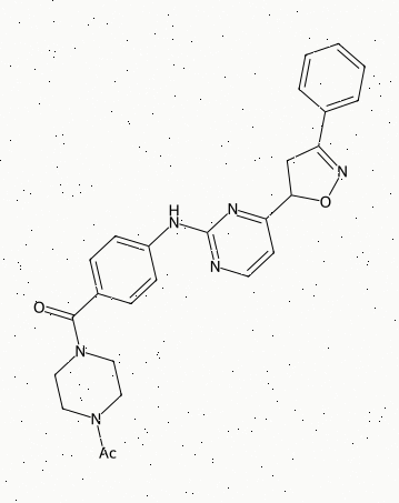 CC(=O)N1CCN(C(=O)c2ccc(Nc3nccc(C4CC(c5ccccc5)=NO4)n3)cc2)CC1